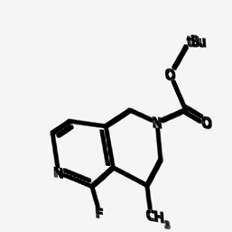 CC1CN(C(=O)OC(C)(C)C)Cc2ccnc(F)c21